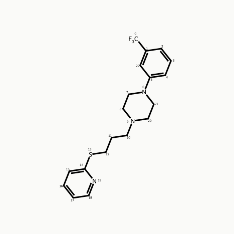 FC(F)(F)c1cccc(N2CCN(CCCSc3ccccn3)CC2)c1